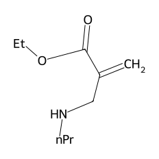 C=C(CNCCC)C(=O)OCC